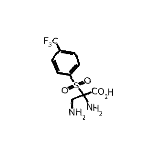 NCC(N)(C(=O)O)S(=O)(=O)c1ccc(C(F)(F)F)cc1